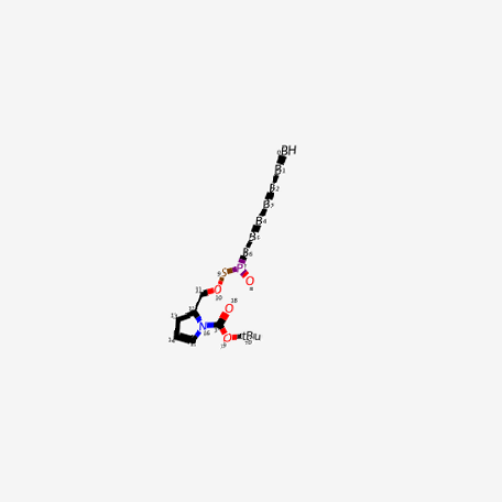 B=BB=BB=BB=P(=O)SOC[C@@H]1CC=CN1C(=O)OC(C)(C)C